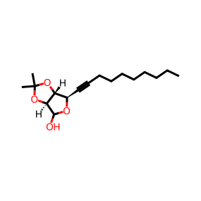 CCCCCCCCC#C[C@H]1OC(O)[C@H]2OC(C)(C)O[C@@H]21